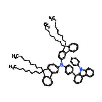 CCCCCCCCC1(CCCCCCCC)c2ccccc2-c2cc(N(c3ccc(-c4cccc5c6ccccc6n(-c6ccccc6)c45)cc3)c3ccc4c(c3)-c3ccccc3C4(CCCCCCCC)CCCCCCCC)ccc21